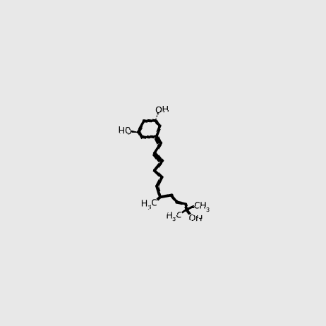 CC(CCCC=CC=C1C[C@@H](O)C[C@H](O)C1)CCCC(C)(C)O